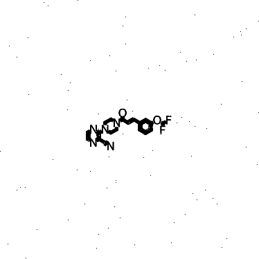 N#Cc1nccnc1N1CCN(C(=O)C=Cc2cccc(OC(F)F)c2)CC1